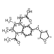 CC(=O)N1c2ccc(OC3CCOC3)cc2[C@H](NC(=O)O)[C@@H](C)[C@@H]1C